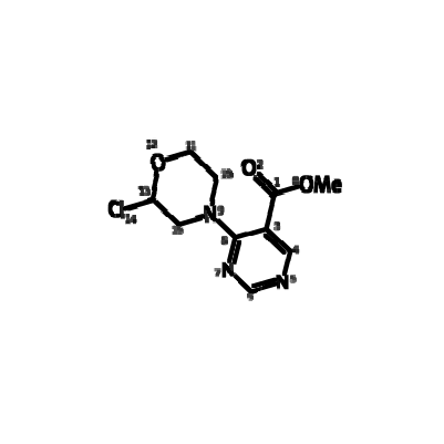 COC(=O)c1cncnc1N1CCOC(Cl)C1